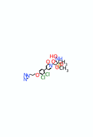 CC(CCn1ccc(-c2ccc(OCCCn3cncn3)c(Cl)c2Cl)cc1=O)(C(=O)NO)S(C)(=O)=O